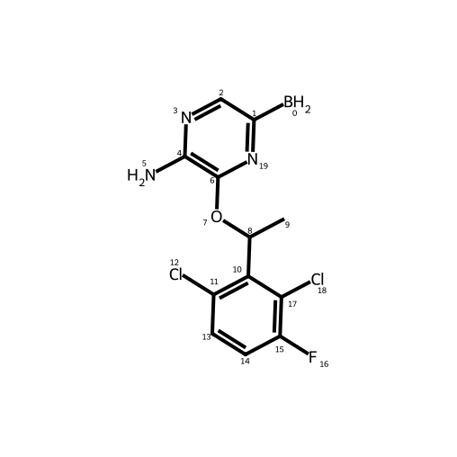 Bc1cnc(N)c(OC(C)c2c(Cl)ccc(F)c2Cl)n1